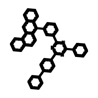 c1ccc(-c2ccc(-c3nc(-c4ccccc4)nc(-c4cccc(-c5c6ccccc6cc6c5ccc5ccccc56)c4)n3)cc2)cc1